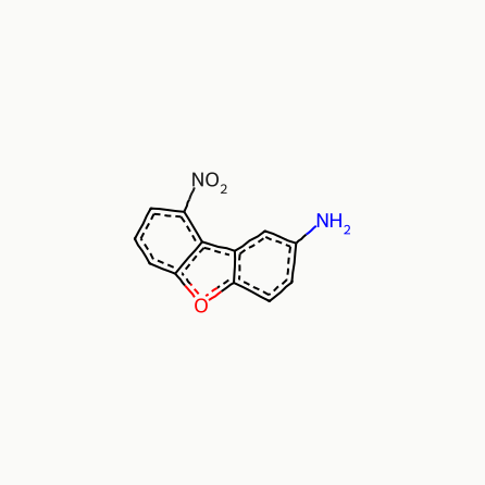 Nc1ccc2oc3cccc([N+](=O)[O-])c3c2c1